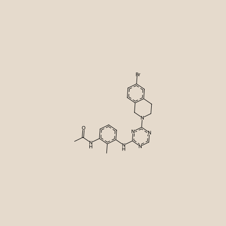 CC(=O)Nc1cccc(Nc2ncnc(N3CCc4cc(Br)ccc4C3)n2)c1C